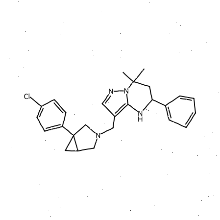 CC1(C)CC(c2ccccc2)Nc2c(CN3CC4CC4(c4ccc(Cl)cc4)C3)cnn21